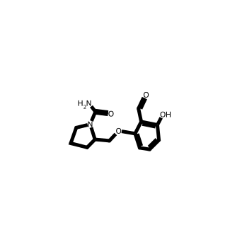 NC(=O)N1CCCC1COc1cccc(O)c1C=O